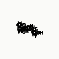 O=C1N([C@@H](c2ccccc2)C(F)(F)F)C(=O)C2(CC2)N1Cc1nnc(-c2ccc(F)c(O)c2F)s1